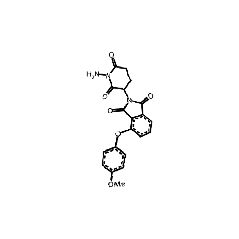 COc1ccc(Oc2cccc3c2C(=O)N(C2CCC(=O)N(N)C2=O)C3=O)cc1